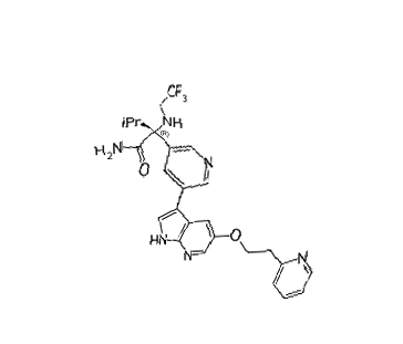 CC(C)[C@](NCC(F)(F)F)(C(N)=O)c1cncc(-c2c[nH]c3ncc(OCCc4ccccn4)cc23)c1